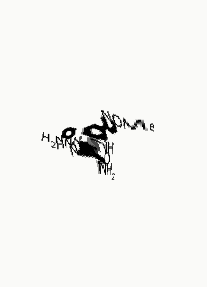 COc1ccc(-c2cccc(Nc3nc(N[C@@H]4CCCC[C@@H]4N)ncc3C(N)=O)c2)cn1